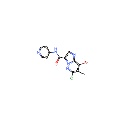 Cc1c(Cl)nn2c(C(=O)Nc3ccncc3)cnc2c1Br